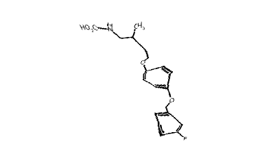 CC(CNC(=O)O)COc1ccc(Oc2cccc(F)c2)cc1